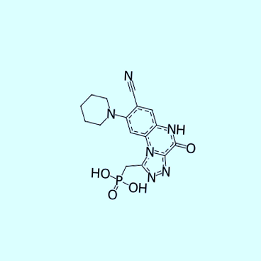 N#Cc1cc2[nH]c(=O)c3nnc(CP(=O)(O)O)n3c2cc1N1CCCCC1